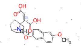 COc1ccc2cc(OC3CC4CCC(/C(=C\C(=O)O)C(=O)O)(C3)N4C)ccc2c1